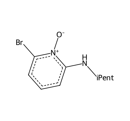 CCCC(C)Nc1cccc(Br)[n+]1[O-]